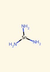 [NH2][Sn]([NH2])[NH2]